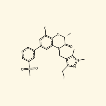 Cc1c(CN2C(=O)[C@@H](C)Oc3c(F)cc(-c4cccc(S(C)(=O)=O)c4)cc32)c(CF)nn1C